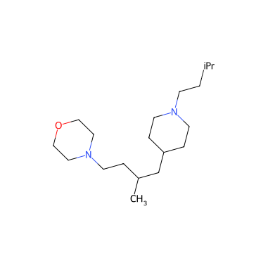 CC(C)CCN1CCC(CC(C)CCN2CCOCC2)CC1